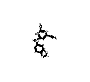 N#Cc1cc(Nc2ccc3c(c2)OCO3)nc(Cl)n1